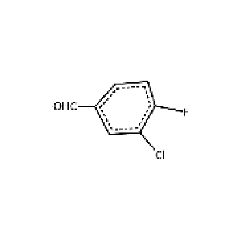 O=[C]c1ccc(F)c(Cl)c1